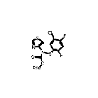 CC(C)(C)OC(=O)N(Sc1cc(Cl)c(F)cc1F)c1cscn1